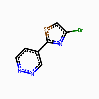 Brc1csc(-c2ccnnc2)n1